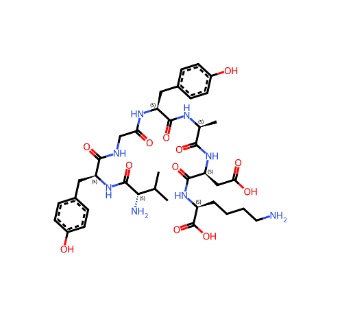 CC(C)[C@H](N)C(=O)N[C@@H](Cc1ccc(O)cc1)C(=O)NCC(=O)N[C@@H](Cc1ccc(O)cc1)C(=O)N[C@@H](C)C(=O)N[C@@H](CC(=O)O)C(=O)N[C@@H](CCCCN)C(=O)O